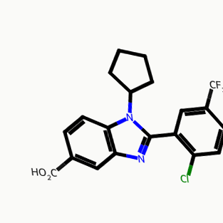 O=C(O)c1ccc2c(c1)nc(-c1cc(C(F)(F)F)ccc1Cl)n2C1CCCC1